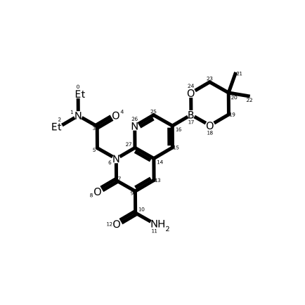 CCN(CC)C(=O)Cn1c(=O)c(C(N)=O)cc2cc(B3OCC(C)(C)CO3)cnc21